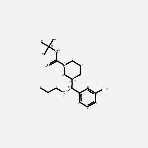 CCCO[C@@H](c1cccc(Cl)c1)[C@@H]1CCCN(C(=O)OC(C)(C)C)C1